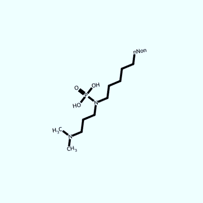 CCCCCCCCCCCCCCN(CCCN(C)C)P(=O)(O)O